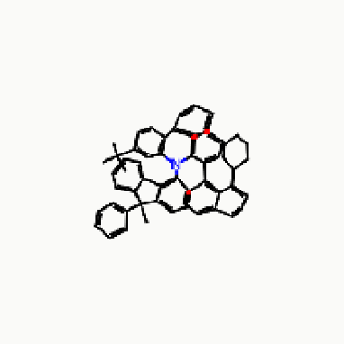 CC(C)(C)c1ccc(-c2ccccc2)c(N(c2ccccc2-c2cccc3cccc(C4CCCCC4)c23)c2cccc3c2-c2ccccc2C3(C)c2ccccc2)c1